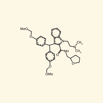 COCOc1ccc(C(c2ccc(OCOC)cc2)c2c(C(=O)NCC3CCCO3)n(CCN(C)C)c3ccccc23)cc1